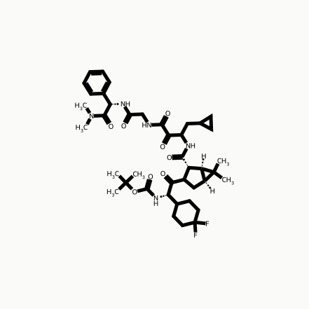 CN(C)C(=O)[C@@H](NC(=O)CNC(=O)C(=O)C(CC1CC1)NC(=O)[C@H]1C(C(=O)[C@@H](NC(=O)OC(C)(C)C)C2CCC(F)(F)CC2)C[C@H]2[C@@H]1C2(C)C)c1ccccc1